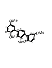 COc1ccc(OC)c(-c2ccc(-c3cc(OC)ccc3OC)cc2)c1